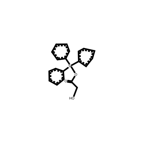 O=C(CO)O[Si](c1ccccc1)(c1ccccc1)c1ccccc1